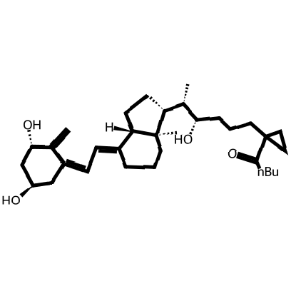 C=C1/C(=C\C=C2/CCC[C@]3(C)[C@@H]([C@H](C)[C@@H](O)CCCC4(C(=O)CCCC)CC4)CC[C@@H]23)C[C@@H](O)C[C@@H]1O